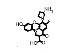 N[C@H]1CCN(c2c(F)cc3c(=O)c(C(=O)O)cn4c3c2Oc2cc(O)ccc2-4)C1